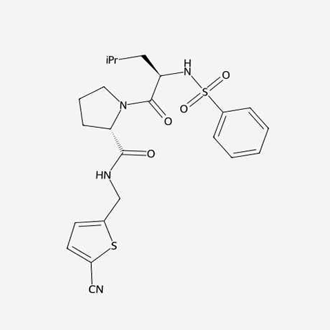 CC(C)C[C@@H](NS(=O)(=O)c1ccccc1)C(=O)N1CCC[C@H]1C(=O)NCc1ccc(C#N)s1